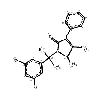 CC1=C(c2ccccc2)C(=O)N(C(C)(C)c2cc(Cl)cc(Cl)c2)C1C